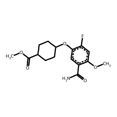 COC(=O)C1CCC(Oc2cc(C(N)=O)c(OC)cc2F)CC1